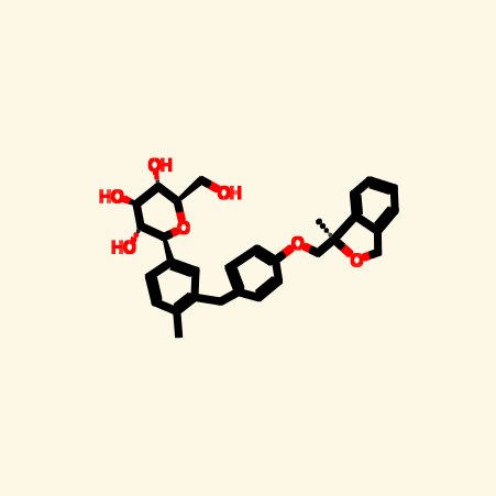 Cc1ccc([C@@H]2O[C@H](CO)[C@@H](O)[C@H](O)[C@H]2O)cc1Cc1ccc(OC[C@]2(C)OCc3ccccc32)cc1